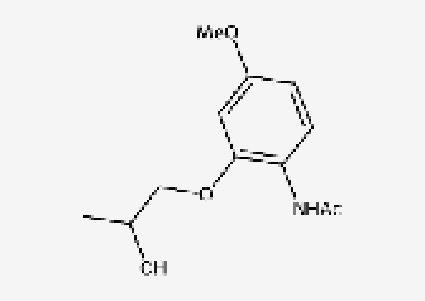 COc1ccc(NC(C)=O)c(OCC(C)O)c1